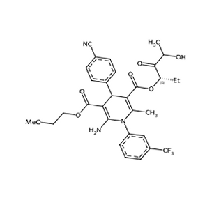 CC[C@H](OC(=O)C1=C(C)N(c2cccc(C(F)(F)F)c2)C(N)=C(C(=O)OCCOC)C1c1ccc(C#N)cc1)C(=O)C(C)O